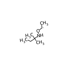 C[CH]ONC(C)(C)CC